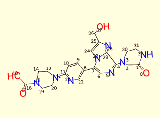 O=C1CN(c2ncc(-c3ccc(N4CCN(C(=O)O)CC4)nc3)n3cc(CO)nc23)CCN1